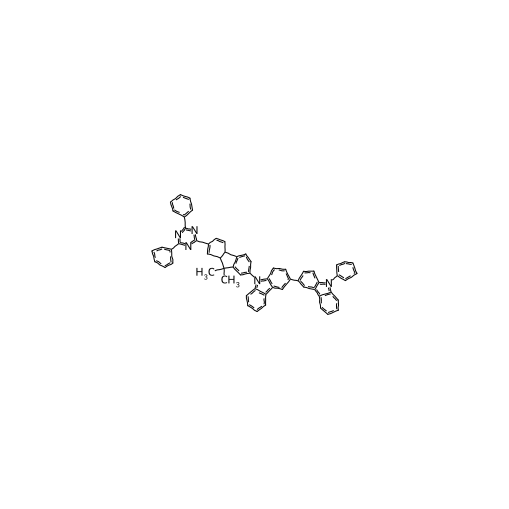 CC1(C)c2cc(-n3c4ccccc4c4cc(-c5ccc6c(c5)c5ccccc5n6-c5ccccc5)ccc43)ccc2C2C=CC(c3nc(-c4ccccc4)nc(-c4ccccc4)n3)=CC21